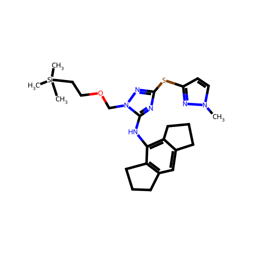 Cn1ccc(Sc2nc(Nc3c4c(cc5c3CCC5)CCC4)n(COCC[Si](C)(C)C)n2)n1